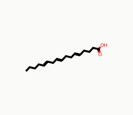 CCCCC=CCC=CCCC=CCCCC(=O)O